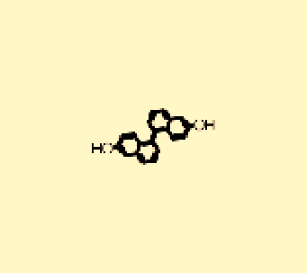 Oc1ccc2c(-c3cccc4cc(O)ccc34)cccc2c1